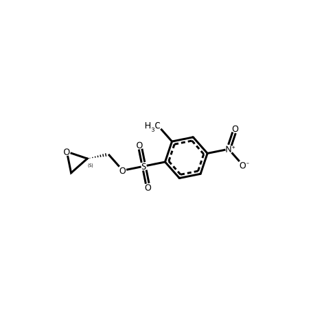 Cc1cc([N+](=O)[O-])ccc1S(=O)(=O)OC[C@@H]1CO1